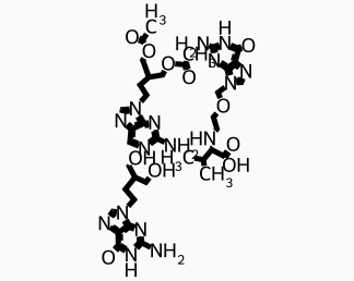 CC(=O)OCC(CCn1cnc2cnc(N)nc21)COC(C)=O.CC(C)[C@H](NCCOCn1cnc2c(=O)[nH]c(N)nc21)C(=O)O.Nc1nc2c(ncn2CCC(CO)CO)c(=O)[nH]1